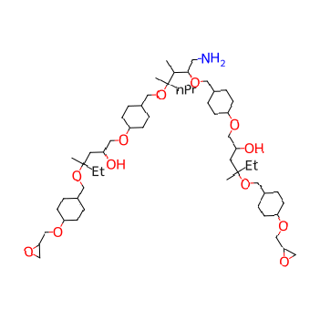 CCCC(C)(OCC1CCC(OCC(O)CC(C)(CC)OCC2CCC(OCC3CO3)CC2)CC1)C(C)C(CN)OCC1CCC(OCC(O)CC(C)(CC)OCC2CCC(OCC3CO3)CC2)CC1